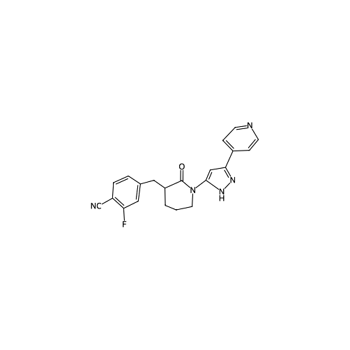 N#Cc1ccc(CC2CCCN(c3cc(-c4ccncc4)n[nH]3)C2=O)cc1F